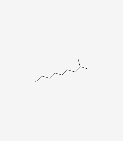 [CH2]CCCCCC[C](C)C